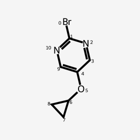 Brc1ncc(OC2CC2)cn1